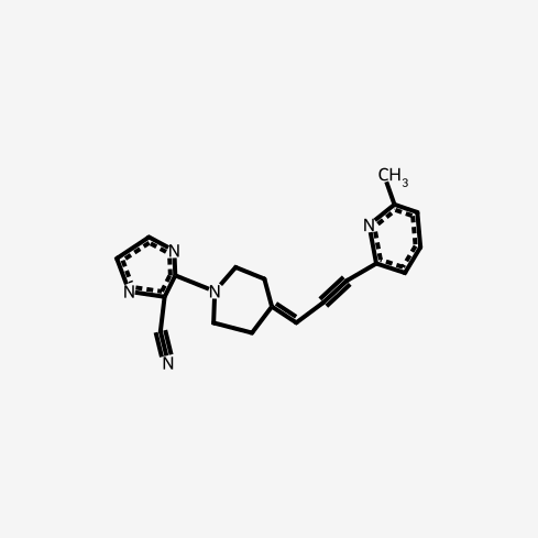 Cc1cccc(C#CC=C2CCN(c3nccnc3C#N)CC2)n1